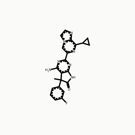 CC1(c2cccc(F)c2)C(=O)Nc2nc(-c3cn4ccnc4c(C4CC4)n3)nc(N)c21